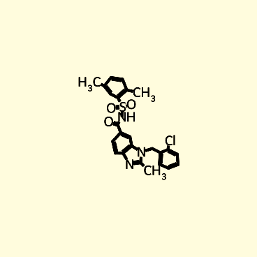 Cc1ccc(C)c(S(=O)(=O)NC(=O)c2ccc3nc(C)n(Cc4ccccc4Cl)c3c2)c1